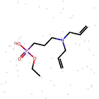 C=CCN(CC=C)CCCP(=O)(O)OCC